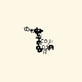 Cc1c(-c2ccc(-c3ccc4cccc(C(=O)Nc5nc6ncccc6s5)c4c3)nc2C(=O)O)cnn1CC12CC3(C)CC(C)(C1)CC(OC(C)(C)C)(C3)C2